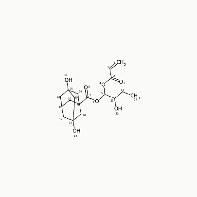 C=CC(=O)OC(OC(=O)C12CC3CC(O)(CC(O)(C3)C1)C2)C(O)CC